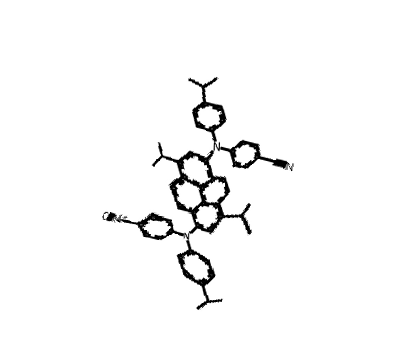 [C-]#[N+]c1ccc(N(c2ccc(C(C)C)cc2)c2cc(C(C)C)c3ccc4c(N(c5ccc(C#N)cc5)c5ccc(C(C)C)cc5)cc(C(C)C)c5ccc2c3c54)cc1